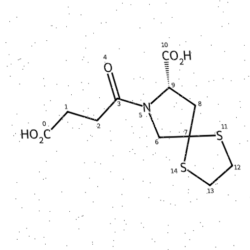 O=C(O)CCC(=O)N1CC2(C[C@H]1C(=O)O)SCCS2